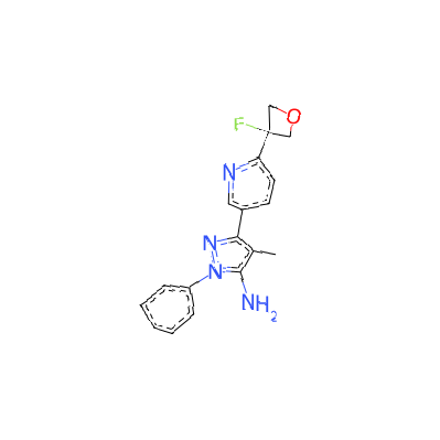 Cc1c(-c2ccc(C3(F)COC3)nc2)nn(-c2ccccc2)c1N